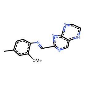 COc1cc(C)ccc1N=Cc1ncc2nccnc2n1